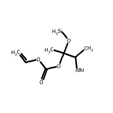 C=COC(=O)OC(C)(O[SiH3])C(C)CCCC